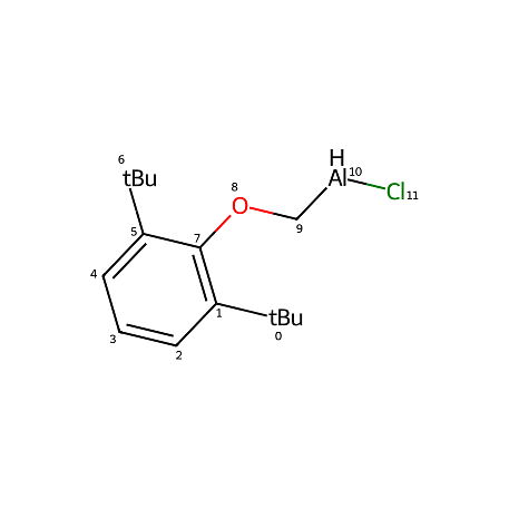 CC(C)(C)c1cccc(C(C)(C)C)c1O[CH2][AlH][Cl]